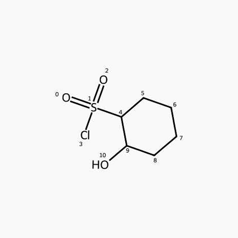 O=S(=O)(Cl)C1CCCCC1O